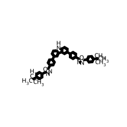 CC(C)(C)c1ccc(-c2nnc(-c3ccc(-c4ccc5[nH]c6ccc(-c7ccc(-c8nnc(-c9ccc(C(C)(C)C)cc9)o8)cc7)cc6c5c4)cc3)o2)cc1